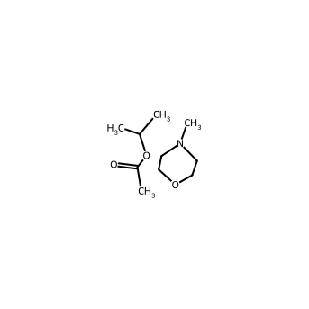 CC(=O)OC(C)C.CN1CCOCC1